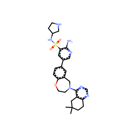 CC1(C)CCc2ncnc(N3CCOc4ccc(-c5cnc(N)c(S(=O)(=O)NC6CCNC6)c5)cc4C3)c2C1